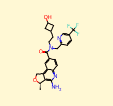 C[C@H]1OCc2c1c(N)nc1ccc(C(=O)N(CCC3CC(O)C3)Cc3ccc(C(F)(F)F)cn3)cc21